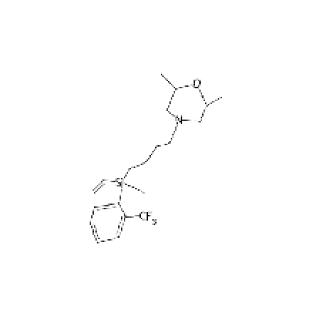 C=C[Si](C)(CCCCN1CC(C)OC(C)C1)c1ccccc1C(F)(F)F